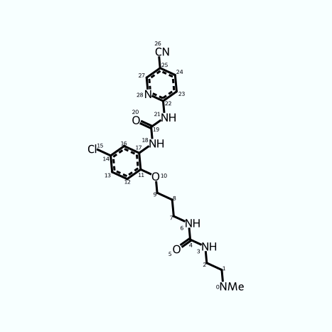 CNCCNC(=O)NCCCOc1ccc(Cl)cc1NC(=O)Nc1ccc(C#N)cn1